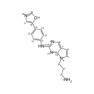 NCCCn1ccc2cnc(Nc3ccc(-c4cnco4)cc3)nc21